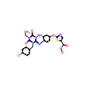 CCn1c(=O)n(N)/c(=N\c2ccc(Oc3ncc(C(=O)N=O)s3)cc2)n(Cc2ccc(Cl)cc2)c1=O